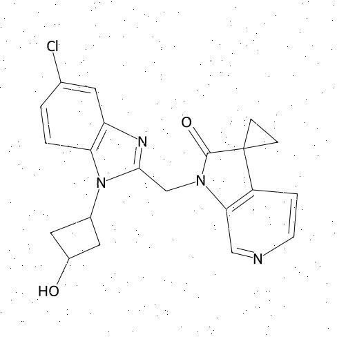 O=C1N(Cc2nc3cc(Cl)ccc3n2C2CC(O)C2)c2cnccc2C12CC2